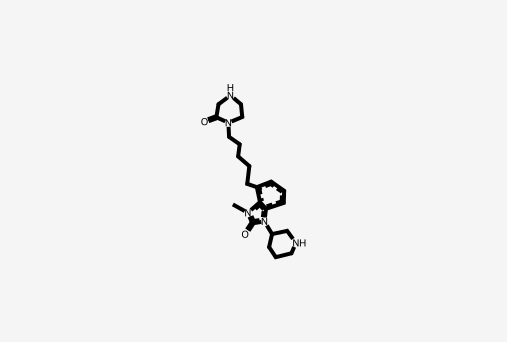 Cn1c(=O)n(C2CCCNC2)c2cccc(CCCCCN3CCNCC3=O)c21